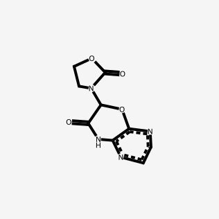 O=C1Nc2nccnc2OC1N1CCOC1=O